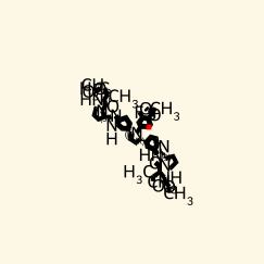 COC(=O)NC(C(=O)N1CCC[C@H]1c1nc2ccc([C@H]3CC[C@H](c4ccc5nc([C@@H]6CCCN6C(=O)[C@@H](NC(=O)OC)C(C)C)[nH]c5c4)N3c3ccc(S(C)(=O)=O)c(F)c3)cc2[nH]1)C(C)C